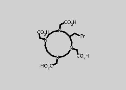 CC(C)CC1CN(CC(=O)O)CCN(CC(=O)O)CCCN(CC(=O)O)CCN(CC(=O)O)C1